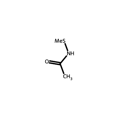 [CH2]SNC(C)=O